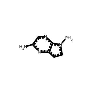 Nc1cnc2c(ccn2P)n1